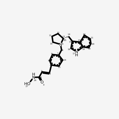 O=C(C=Cc1ccc(CN2CCC[C@@H]2Cc2c[nH]c3ccccc23)cc1)NO